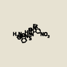 CCN1C(=O)C(=NNC(=S)Nc2ccccc2S(N)(=O)=O)c2cc([N+](=O)[O-])ccc21